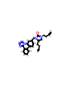 C#CCCc1cn(CCC#C)c(=O)n1Cc1ccc(-c2ccccc2-c2nnn[nH]2)cc1